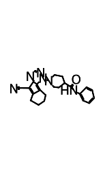 N#Cc1c2ncnn(N3CCC(C(=O)Nc4ccccc4)CC3)c-2c2c1CCCC2